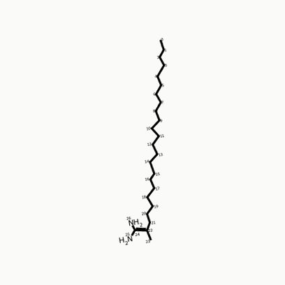 CCCCCCCCCCCCCCCCCCCCCCC(C)=C(N)N